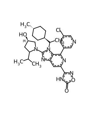 CC(C)C1C[C@@H](O)CN1c1nc2cc(-c3noc(=O)[nH]3)nc(-c3cncc(Cl)c3)c2n1C(C)[C@H]1CC[C@H](C)CC1